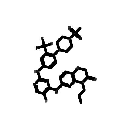 CCCN1C(=O)COc2ccc(Nc3nc(Nc4ccc(N5CCN(S(C)(=O)=O)CC5)c(C(F)(F)F)c4)ncc3F)nc21